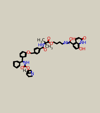 CC(C)(NC(=O)c1ccc(COc2cccc(C(NC(=O)O[C@H]3CN4CCC3CC4)c3ccccc3)c2)cc1)C(=O)OCCCCNCC(O)c1ccc(O)c2[nH]c(=O)ccc12